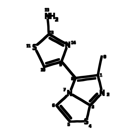 Cc1nc2sccn2c1-c1csc(N)n1